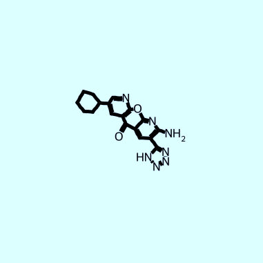 Nc1nc2oc3ncc(C4CCCCC4)cc3c(=O)c2cc1-c1nnn[nH]1